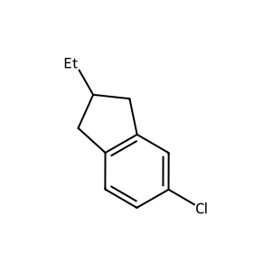 CCC1Cc2ccc(Cl)cc2C1